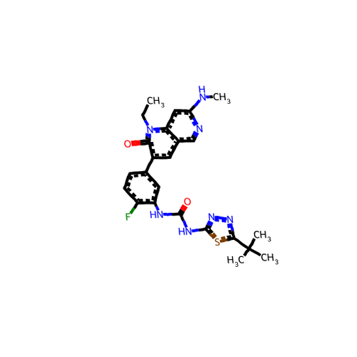 CCn1c(=O)c(-c2ccc(F)c(NC(=O)Nc3nnc(C(C)(C)C)s3)c2)cc2cnc(NC)cc21